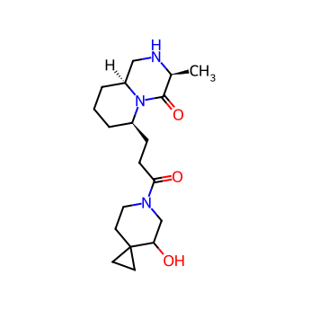 C[C@@H]1NC[C@@H]2CCC[C@H](CCC(=O)N3CCC4(CC4)C(O)C3)N2C1=O